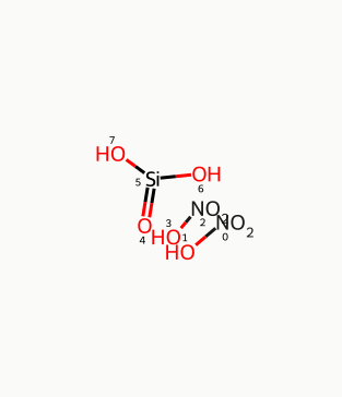 O=[N+]([O-])O.O=[N+]([O-])O.O=[Si](O)O